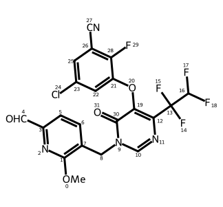 COc1nc(C=O)ccc1Cn1cnc(C(F)(F)C(F)F)c(Oc2cc(Cl)cc(C#N)c2F)c1=O